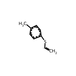 C=[C]Sc1ccc(C)cc1